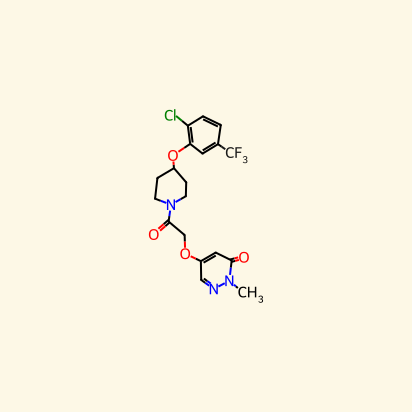 Cn1ncc(OCC(=O)N2CCC(Oc3cc(C(F)(F)F)ccc3Cl)CC2)cc1=O